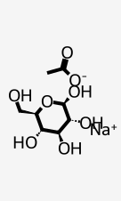 CC(=O)[O-].OC[C@H]1O[C@@H](O)[C@H](O)[C@@H](O)[C@@H]1O.[Na+]